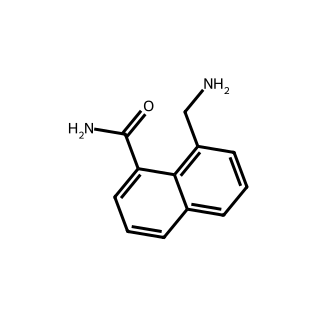 NCc1cccc2cccc(C(N)=O)c12